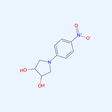 O=[N+]([O-])c1ccc(N2CC(O)C(O)C2)cc1